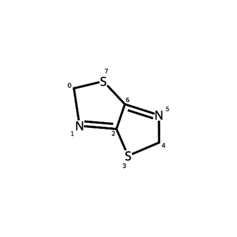 C1N=C2SCN=C2S1